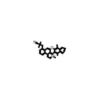 Cc1c2c(c(C)c3ccccc13)-c1c3c(cc4c(CC(C)(C)C#N)cccc4c3cc[n+]1C)O2